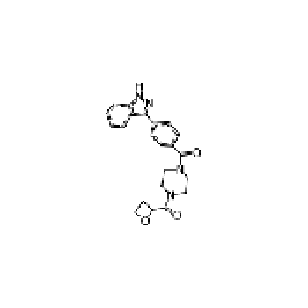 O=C(c1ccc(-c2n[nH]c3ccccc23)cc1)N1CCN(C(=O)C2CCO2)CC1